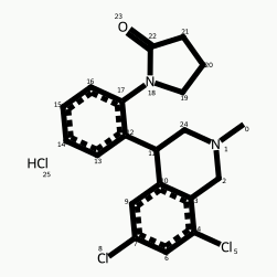 CN1Cc2c(Cl)cc(Cl)cc2C(c2ccccc2N2CCCC2=O)C1.Cl